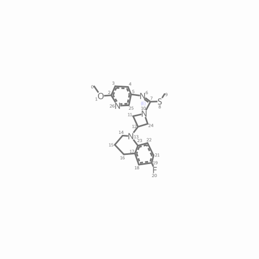 COc1ccc(/N=C(/SC)N2CC(N3CCCc4cc(F)ccc43)C2)cn1